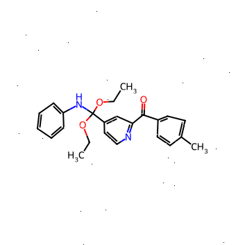 CCOC(Nc1ccccc1)(OCC)c1ccnc(C(=O)c2ccc(C)cc2)c1